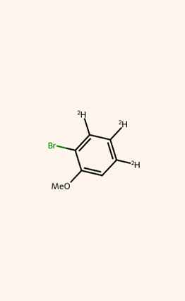 [2H]c1cc(OC)c(Br)c([2H])c1[2H]